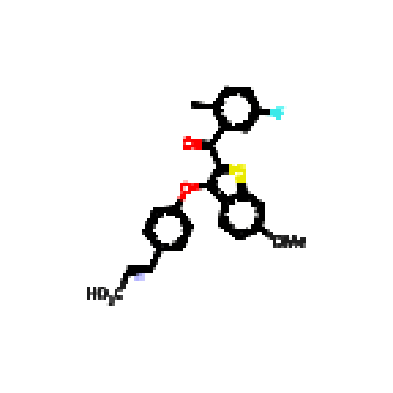 COc1ccc2c(Oc3ccc(/C=C/C(=O)O)cc3)c(C(=O)c3cc(F)ccc3C)sc2c1